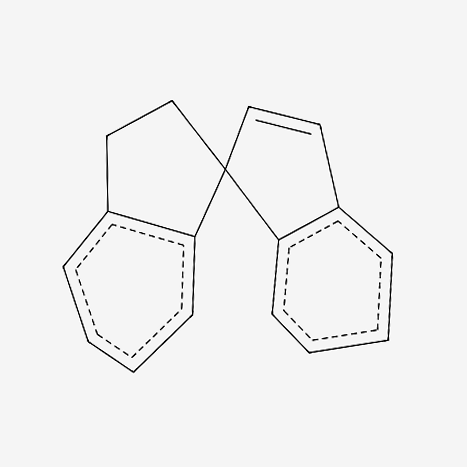 C1=CC2(CCc3ccccc32)c2ccccc21